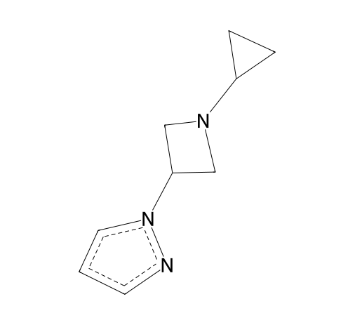 c1cnn(C2CN(C3CC3)C2)c1